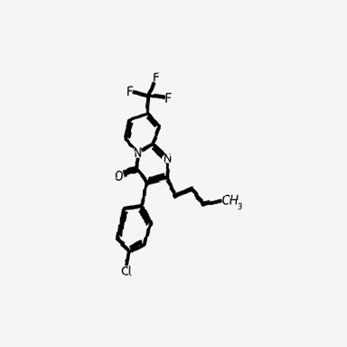 CCCCc1nc2cc(C(F)(F)F)ccn2c(=O)c1-c1ccc(Cl)cc1